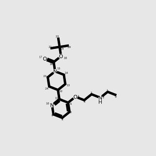 CCNCCOc1cccnc1C1CCN(C(=O)OC(C)(C)C)CC1